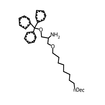 CCCCCCCCCCCCCCCCCCOCC(N)COC(c1ccccc1)(c1ccccc1)c1ccccc1